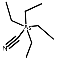 CC[As](C#N)(CC)(CC)CC